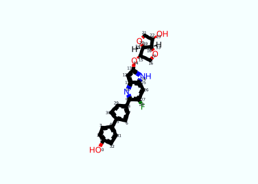 Oc1ccc(-c2ccc(-c3nc4cc(O[C@@H]5CO[C@H]6[C@@H]5OC[C@H]6O)[nH]c4cc3F)cc2)cc1